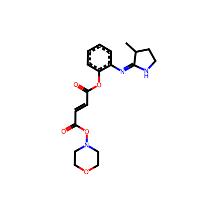 CC1CCNC1=Nc1ccccc1OC(=O)/C=C/C(=O)ON1CCOCC1